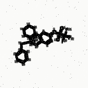 O=S(=O)(Oc1ccc2c(c1)C13CCCCC1C(C2)N(Cc1ccccc1)CC3)C(F)(F)F